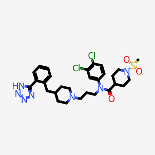 CS(=O)(=O)N1CCC(C(=O)N(CCCN2CCC(Cc3ccccc3-c3nnn[nH]3)CC2)c2ccc(Cl)c(Cl)c2)CC1